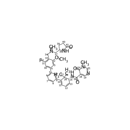 COc1cc(-c2cccc(C3=CC=C[C@@H](NC(=O)c4cncn(C)c4=O)C3(C)C)c2)cc(F)c1CN(C)CC1CCC(=O)N1